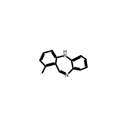 [CH2]c1cccc2c1C=Nc1ccccc1N2